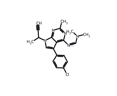 C#CC(C)n1cc(-c2ccc(Cl)cc2)c2c(/N=C\N(C)C)nc(C)nc21